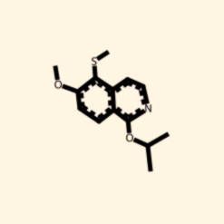 COc1ccc2c(OC(C)C)nccc2c1SC